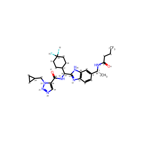 C[C@@H](NC(=O)CCC(F)(F)F)c1ccc2nc([C@@H](NC(=O)c3cnnn3CC3CC3)C3CCC(F)(F)CC3)[nH]c2c1